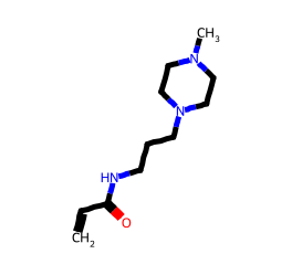 C=CC(=O)NCCCN1CCN(C)CC1